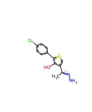 C/C(=N\N)c1csc(-c2ccc(Cl)cc2)c1O